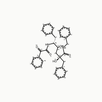 O=C(N[C@H](Cc1ccccc1)[C@@H](O)C[C@@](O)(Cc1ccccc1)C(=O)NCc1ccccc1)C(=O)c1ccccc1